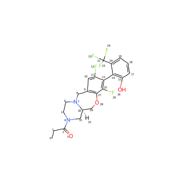 CCC(=O)N1CCN2Cc3cc(F)c(-c4c(O)cccc4C(F)(F)F)c(F)c3OC[C@H]2C1